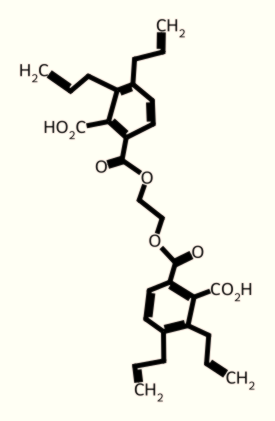 C=CCc1ccc(C(=O)OCCOC(=O)c2ccc(CC=C)c(CC=C)c2C(=O)O)c(C(=O)O)c1CC=C